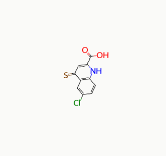 O=C(O)c1cc(=S)c2cc(Cl)ccc2[nH]1